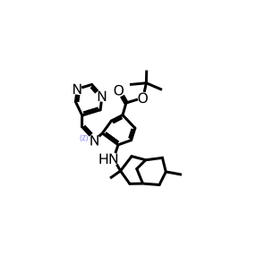 CC1CC2CC(C1)CC(C)(Nc1ccc(C(=O)OC(C)(C)C)cc1/N=C\c1cncnc1)C2